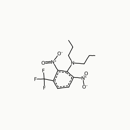 CCCN(CCC)c1c([N+](=O)[O-])ccc(C(F)(F)F)c1[N+](=O)[O-]